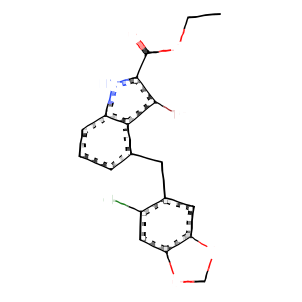 CCOC(=O)c1[nH]c2cccc(Cc3cc4c(cc3Cl)OCO4)c2c1Br